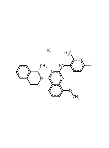 COc1cccc2c(N3CCc4ccccc4[C@@H]3C)nc(Nc3ccc(F)cc3C)nc12.Cl